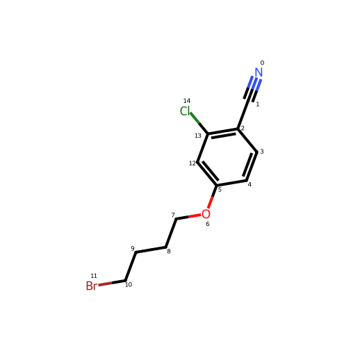 N#Cc1ccc(OCCCCBr)cc1Cl